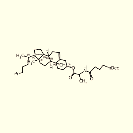 CCCCCCCCCCCCCC(=O)NC(C)C(=O)O[C@H]1CC[C@@]2(C)C(=CC[C@H]3[C@@H]4CC[C@H]([C@H](C)CCCC(C)C)[C@@]4(C)CC[C@@H]32)C1